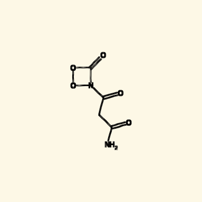 NC(=O)CC(=O)n1ooc1=O